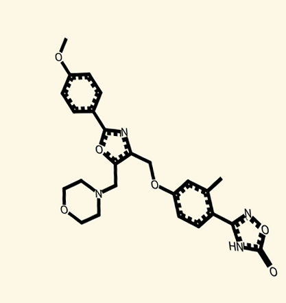 COc1ccc(-c2nc(COc3ccc(-c4noc(=O)[nH]4)c(C)c3)c(CN3CCOCC3)o2)cc1